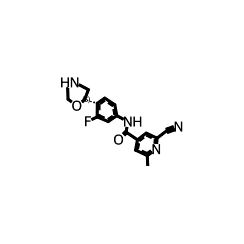 Cc1cc(C(=O)Nc2ccc([C@H]3CNCCO3)c(F)c2)cc(C#N)n1